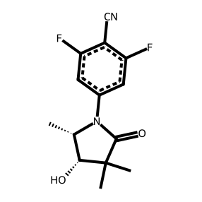 C[C@H]1[C@@H](O)C(C)(C)C(=O)N1c1cc(F)c(C#N)c(F)c1